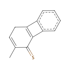 CC1=CCC2=C(C1=S)c1ccccc12